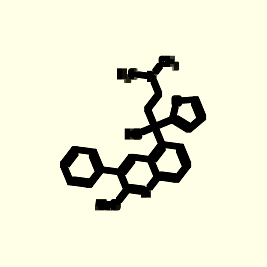 COc1nc2cccc(C(O)(CCN(C)C)c3ccco3)c2cc1-c1ccccc1